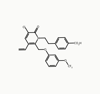 C=Cc1cc(Cl)c(=O)n(CCc2ccc(C(=O)O)cc2)c1COc1cccc(OC(F)(F)F)c1